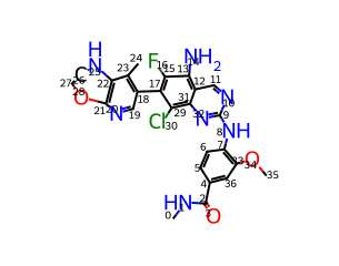 CNC(=O)c1ccc(Nc2ncc3c(N)c(F)c(-c4cnc5c(c4C)NCCO5)c(Cl)c3n2)c(OC)c1